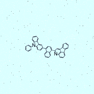 c1ccc(-n2c3ccccc3c3cc(-c4ccc(-c5cc6c7c(cccc7n5)-c5ccccc5-6)c5ccccc45)ccc32)cc1